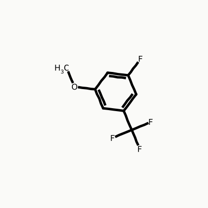 COc1cc(F)cc(C(F)(F)F)c1